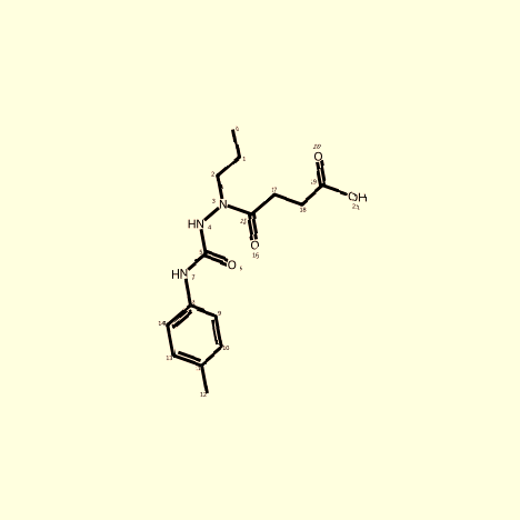 CCCN(NC(=O)Nc1ccc(C)cc1)C(=O)CCC(=O)O